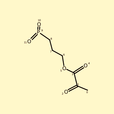 CC(=O)C(=O)OCCCP(=O)=O